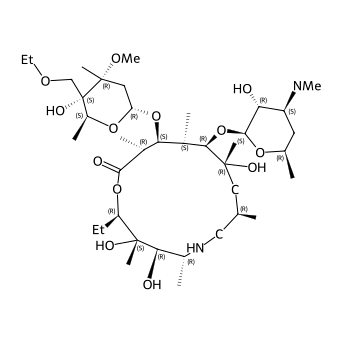 CCOC[C@]1(O)[C@H](C)O[C@@H](O[C@H]2[C@H](C)[C@@H](O[C@@H]3O[C@H](C)C[C@H](NC)[C@H]3O)[C@](C)(O)C[C@@H](C)CN[C@H](C)[C@@H](O)[C@](C)(O)[C@@H](CC)OC(=O)[C@@H]2C)C[C@@]1(C)OC